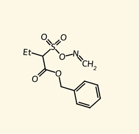 C=NOS(=O)(=O)C(CC)C(=O)OCc1ccccc1